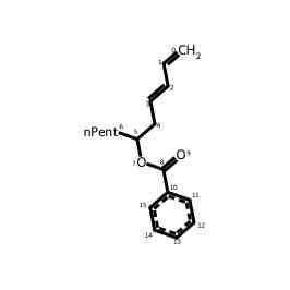 C=CC=CCC(CCCCC)OC(=O)c1ccccc1